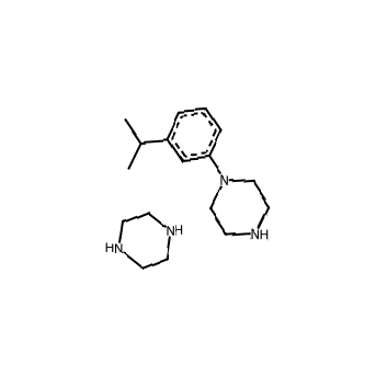 C1CNCCN1.CC(C)c1cccc(N2CCNCC2)c1